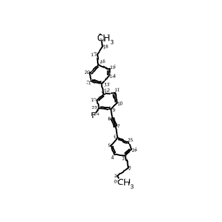 CCCc1ccc(C#Cc2ccc(-c3ccc(CCC)cc3)cc2F)cc1